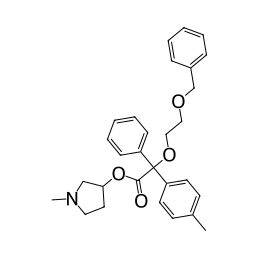 Cc1ccc(C(OCCOCc2ccccc2)(C(=O)OC2CCN(C)C2)c2ccccc2)cc1